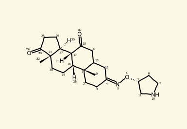 C[C@]12CC/C(=N/O[C@@H]3CCNC3)CC1CC(=O)[C@@H]1[C@H]2CC[C@]2(C)C(=O)CC[C@@H]12